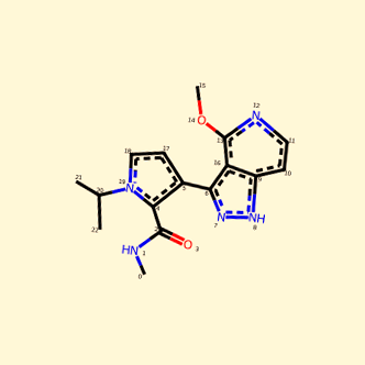 CNC(=O)c1c(-c2n[nH]c3ccnc(OC)c23)ccn1C(C)C